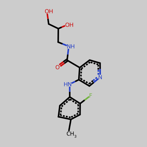 Cc1ccc(Nc2cnccc2C(=O)NCC(O)CO)c(F)c1